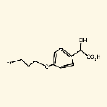 O=C(O)C(O)c1ccc(OCCCBr)cc1